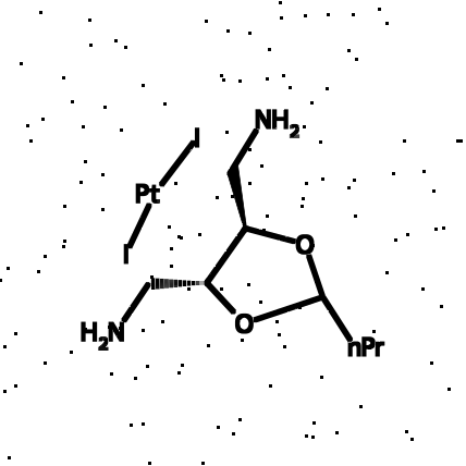 CCCC1O[C@H](CN)[C@@H](CN)O1.[I][Pt][I]